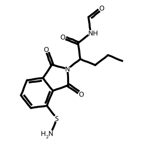 CCCC(C(=O)NC=O)N1C(=O)c2cccc(SN)c2C1=O